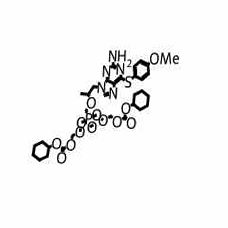 COc1ccc(Sc2nc(N)nc3c2ncn3CC(C)OCP(=O)(OOCOC(=O)OC2CCCCC2)OOCOC(=O)OC2CCCCC2)cc1